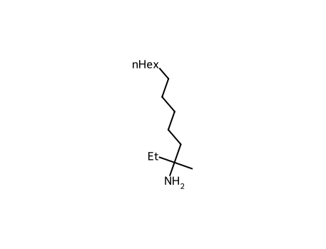 CCCCCCCCCCCC(C)(N)CC